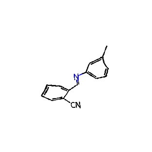 Cc1cccc(/N=C/c2ccccc2C#N)c1